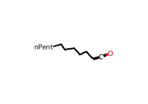 CCCCCCCCCCC=C=O